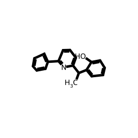 CC(c1cccc(-c2ccccc2)n1)c1ccccc1O